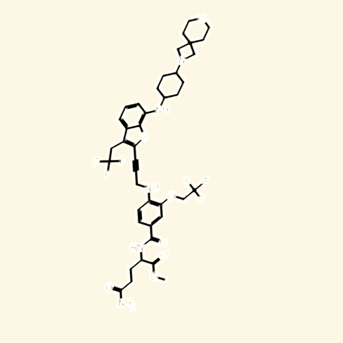 COC(=O)C(CCC(N)=O)NC(=O)c1ccc(NCC#Cc2sc3c(NC4CCC(N5CC6(CCOCC6)C5)CC4)cccc3c2CC(F)(F)F)c(OCC(F)(F)F)c1